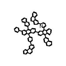 c1ccc(-c2ccc3c(-c4ccc(-c5ccc6ccc7ccccc7c6c5)cc4)c4cc(-c5ccc6c(-c7ccc8ccccc8c7)c7ccccc7c(-c7cccc(-c8ccc9ccc%10ccccc%10c9c8)n7)c6c5)ccc4c(-c4ccc5ccccc5c4)c3c2)cc1